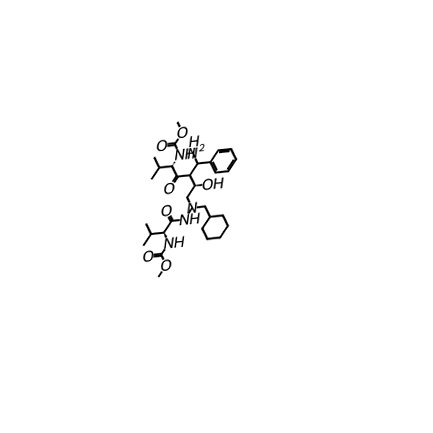 COC(=O)N[C@H](C(=O)NN(CC1CCCCC1)C[C@H](O)C(C(=O)[C@@H](NC(=O)OC)C(C)C)C(N)c1ccccc1)C(C)C